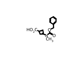 CN(C(=O)OCc1ccccc1)C12CC(C(=O)O)(C1)C2